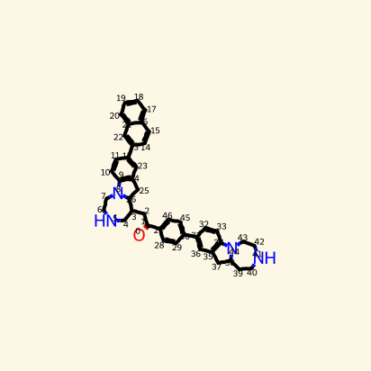 O=C(CC1CNCCN2c3ccc(-c4ccc5ccccc5c4)cc3CC12)c1ccc(-c2ccc3c(c2)CC2CCNCCN32)cc1